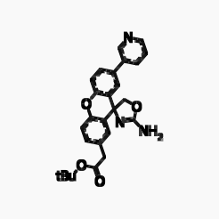 CC(C)(C)OC(=O)Cc1ccc2c(c1)C1(COC(N)=N1)c1cc(-c3cccnc3)ccc1O2